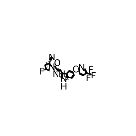 N#C[C@@H]1C[C@H](F)CN1C(=O)[C@@H](N)Cc1c[nH]c2ccc(Oc3ccc(C(F)(F)F)cn3)cc12